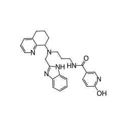 O=C(NCCCN(Cc1nc2ccccc2[nH]1)C1CCCc2cccnc21)c1ccc(O)nc1